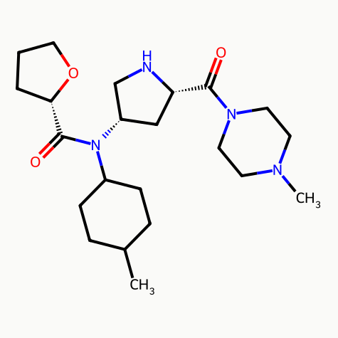 CC1CCC(N(C(=O)[C@@H]2CCCO2)[C@@H]2CN[C@H](C(=O)N3CCN(C)CC3)C2)CC1